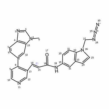 Cn1cnc2ccc(-c3ccncc3/C=C/C(=O)Nc3ccc4c(ccn4CN=[N+]=[N-])c3)cc21